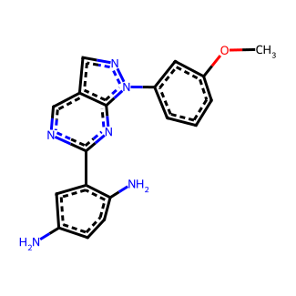 COc1cccc(-n2ncc3cnc(-c4cc(N)ccc4N)nc32)c1